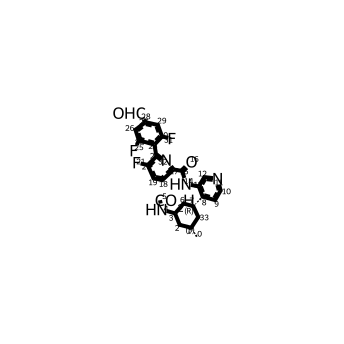 C[C@@H]1CC(NC(=O)O)C[C@H](c2ccncc2NC(=O)c2ccc(F)c(-c3c(F)cc(C=O)cc3F)n2)C1